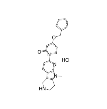 Cl.Cn1c2c(c3ccc(-n4ccc(OCc5ccccc5)cc4=O)nc31)CNCC2